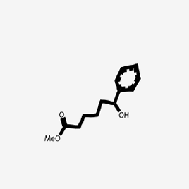 COC(=O)CCCCC(O)c1ccccc1